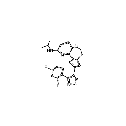 CC(C)Nc1ccc2c(n1)-c1sc(-c3ncnn3-c3ccc(F)cc3F)cc1CCO2